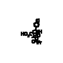 CC(OC(=O)NC(CCC(=O)O)c1ccc(Cl)cc1)OC(=O)C(C)C